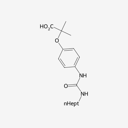 CCCCCCCNC(=O)Nc1ccc(OC(C)(C)C(=O)O)cc1